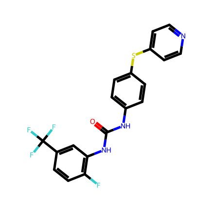 O=C(Nc1ccc(Sc2ccncc2)cc1)Nc1cc(C(F)(F)F)ccc1F